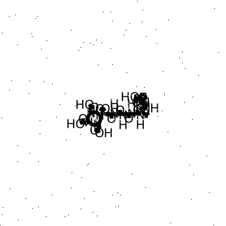 CC(C)[C@H](NC(=O)CNC(=O)CNC(=O)CNC(=O)CC[C@H](C(=O)O)N1CCN(CC(=O)O)CCN(CC(=O)O)CCN(CC(=O)O)CC1)C(=O)N[C@H](C)C(=O)N1CCC[C@H]1B(O)O